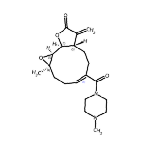 C=C1C(=O)O[C@H]2[C@H]1CC/C(C(=O)N1CCN(C)CC1)=C\CC[C@@]1(C)O[C@@H]21